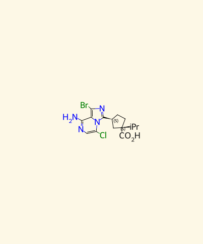 CC(C)[C@]1(C(=O)O)CC[C@H](c2nc(Br)c3c(N)ncc(Cl)n23)C1